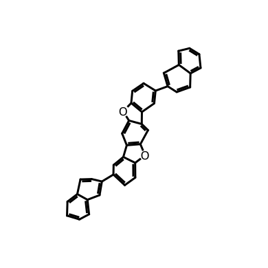 c1ccc2cc(-c3ccc4oc5cc6c(cc5c4c3)oc3ccc(-c4ccc5ccccc5c4)cc36)ccc2c1